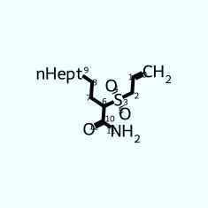 C=CCS(=O)(=O)C(CCCCCCCCC)C(N)=O